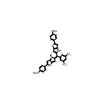 COc1ccc(-c2cc3c(o2)=C/C(=C(\c2cc(C(F)(F)F)cc(C(F)(F)F)c2)c2cc4oc(-c5ccc(OC)cc5)cc4[nH]2)[N+]=3C)cc1